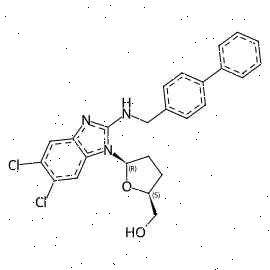 OC[C@@H]1CC[C@H](n2c(NCc3ccc(-c4ccccc4)cc3)nc3cc(Cl)c(Cl)cc32)O1